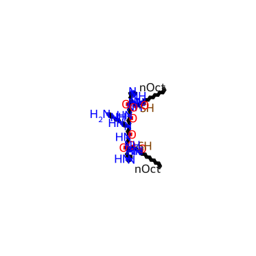 CCCCCCCC/C=C\CCCCCCCC(=O)N[C@@H](CS)C(=O)N[C@@H](Cc1cnc[nH]1)C(=O)NCCNC(=O)CCN(CCNCCNCCN)CCC(=O)NCCNC(=O)[C@H](Cc1cnc[nH]1)NC(=O)[C@H](CS)NC(=O)CCCCCCC/C=C\CCCCCCCC